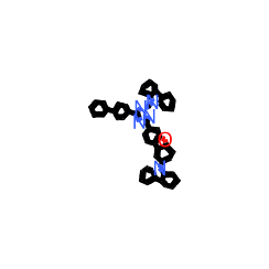 c1ccc(-c2ccc(-c3nc(-c4ccc5c(c4)oc4ccc(-n6c7ccccc7c7ccccc76)cc45)nc(-n4c5ccccc5c5ccccc54)n3)cc2)cc1